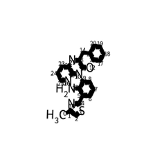 Cc1csc(-c2cccc(-n3c(=O)c(Cc4ccccc4)nc4cccnc43)c2N)n1